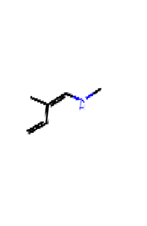 C=C/C(C)=C\NC